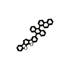 c1ccc2c(c1)ccc1c(-c3c4ccccc4c(-c4ccc5oc6c(ccc7c8ccccc8oc76)c5c4)c4ccccc34)cccc12